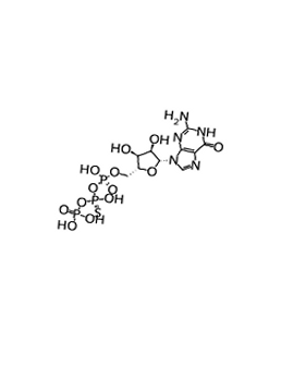 Nc1nc2c(ncn2[C@@H]2O[C@H](COP(=O)(O)OP(O)(=S)OP(=O)(O)O)[C@@H](O)[C@H]2O)c(=O)[nH]1